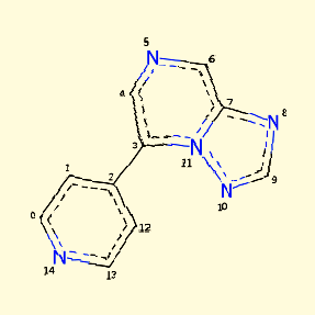 c1cc(-c2cncc3ncnn23)ccn1